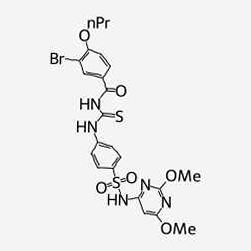 CCCOc1ccc(C(=O)NC(=S)Nc2ccc(S(=O)(=O)Nc3cc(OC)nc(OC)n3)cc2)cc1Br